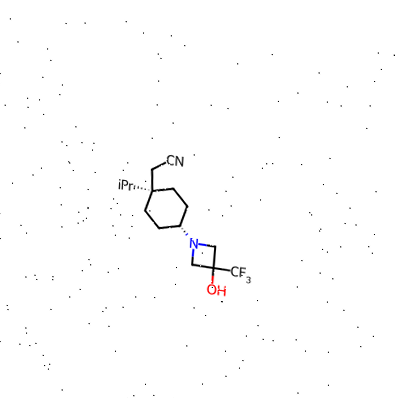 CC(C)[C@]1(CC#N)CC[C@H](N2CC(O)(C(F)(F)F)C2)CC1